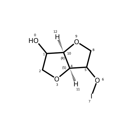 OC1CO[C@@H]2C(OI)CO[C@H]12